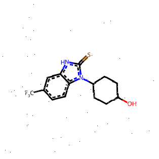 OC1CCC(n2c(=S)[nH]c3cc(C(F)(F)F)ccc32)CC1